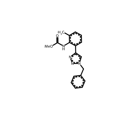 [CH2]c1cccc(-c2cn(Cc3ccccc3)nn2)c1NC(=O)OC